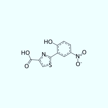 O=C(O)c1csc(-c2cc([N+](=O)[O-])ccc2O)n1